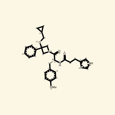 COc1ccc(C[C@@H](NC(=O)CCc2c[nH]cn2)C(=O)N2CC(OCC3CC3)(c3ccccc3)C2)cc1